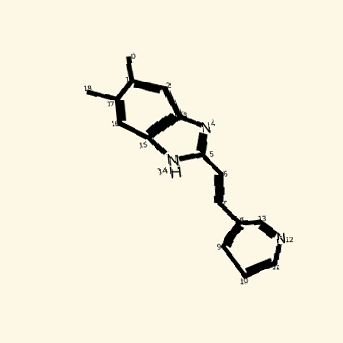 Cc1cc2nc(C=Cc3cccnc3)[nH]c2cc1C